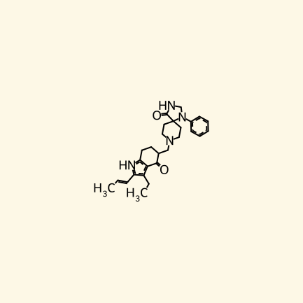 CC=Cc1[nH]c2c(c1CC)C(=O)C(CN1CCC3(CC1)C(=O)NCN3c1ccccc1)CC2